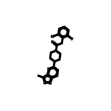 Cc1nnc2ccc(N3CCN(C(=O)Cc4c(F)cccc4Cl)CC3)nn12